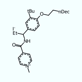 CCCCCCCCCCCCOc1ccc(C(CC)NC(=O)c2cc[n+](C)cc2)cc1C(C)(C)C.[I-]